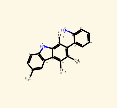 Cc1ccc2[nH]c3c(C)c(-c4ccccc4N)c(C)c(C)c3c2c1